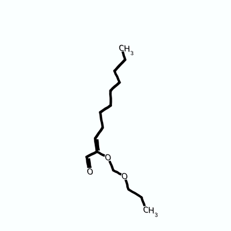 CCCCCCCCC=C(C=O)OCOCCC